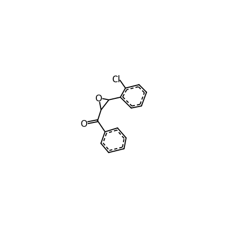 O=C(c1ccccc1)C1OC1c1ccccc1Cl